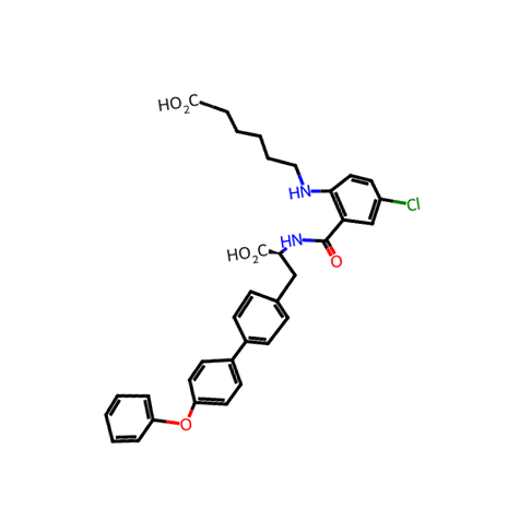 O=C(O)CCCCCNc1ccc(Cl)cc1C(=O)N[C@@H](Cc1ccc(-c2ccc(Oc3ccccc3)cc2)cc1)C(=O)O